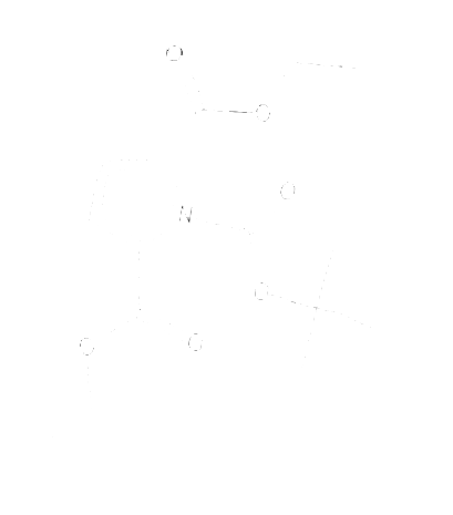 CCOC(=O)c1ccc(C(=O)OCC)n1C(=O)OC(C)(C)C